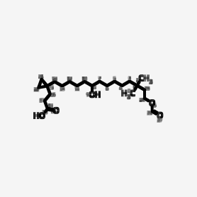 CC(C)(CCCCCC(O)CCCCCC1(CCC(=O)O)CC1)CCOC=O